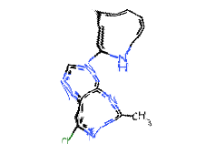 Cc1nc(Cl)c2ncn(C3=CC=CC=CN3)c2n1